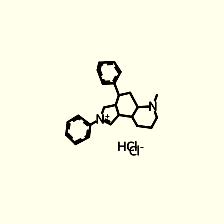 CN1CCCC2C3C=[N+](c4ccccc4)CC3C(c3ccccc3)CC21.Cl.[Cl-]